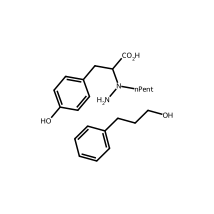 CCCCCN(N)C(Cc1ccc(O)cc1)C(=O)O.OCCCc1ccccc1